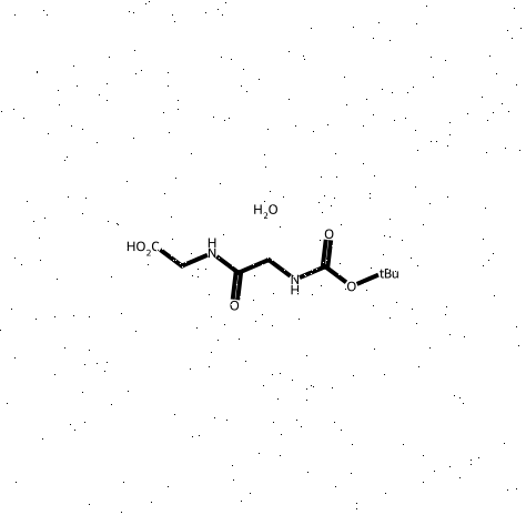 CC(C)(C)OC(=O)NCC(=O)NCC(=O)O.O